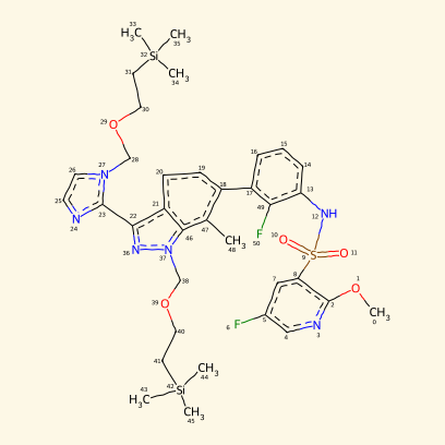 COc1ncc(F)cc1S(=O)(=O)Nc1cccc(-c2ccc3c(-c4nccn4COCC[Si](C)(C)C)nn(COCC[Si](C)(C)C)c3c2C)c1F